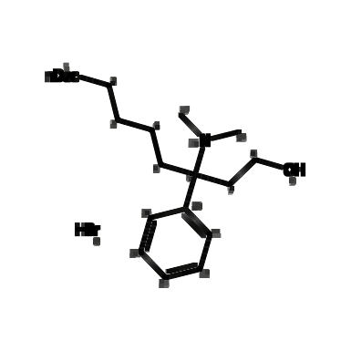 Br.CCCCCCCCCCCCCCC(CCO)(c1ccccc1)N(C)C